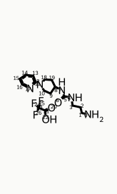 NCCCNC(=O)NC1CCN(c2ccccn2)CC1.O=C(O)C(F)(F)F